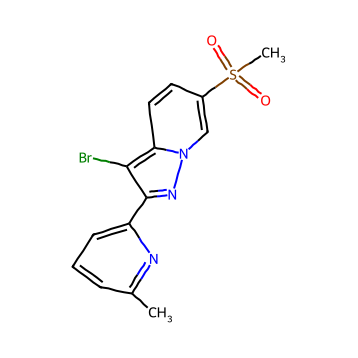 Cc1cccc(-c2nn3cc(S(C)(=O)=O)ccc3c2Br)n1